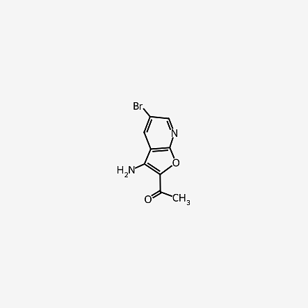 CC(=O)c1oc2ncc(Br)cc2c1N